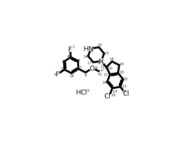 Cl.Fc1cc(F)cc(COC[C@]2(N3CCNCC3)CCc3cc(Cl)c(Cl)cc32)c1